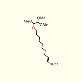 CCCCCCCCC=CCCCCCCCCOC(OC)C(OC)OC